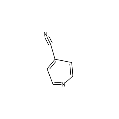 N#Cc1c[c]ncc1